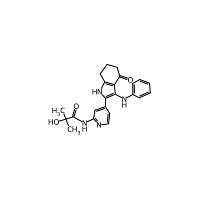 CC(C)(O)C(=O)Nc1cc(-c2[nH]c3c(c2Nc2ccccc2)C(=O)CCC3)ccn1